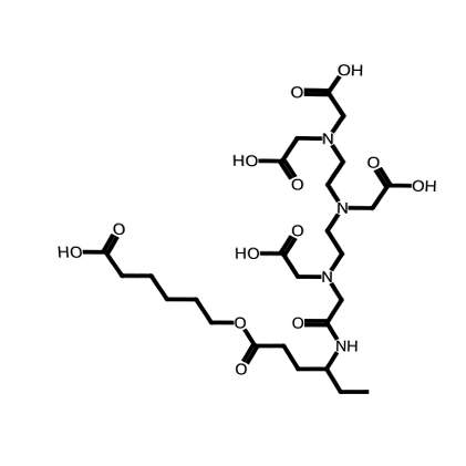 CCC(CCC(=O)OCCCCCC(=O)O)NC(=O)CN(CCN(CCN(CC(=O)O)CC(=O)O)CC(=O)O)CC(=O)O